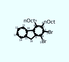 CCCCCCCCc1c(Br)c(Br)c2c(c1CCCCCCCC)-c1ccccc1C2